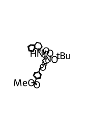 COC(=O)c1ccc(CO[C@H]2C[C@@H](C(=O)N[C@@H]3CCCc4ccccc43)N(C(=O)OC(C)(C)C)C2)cc1